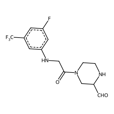 O=CC1CN(C(=O)CNc2cc(F)cc(C(F)(F)F)c2)CCN1